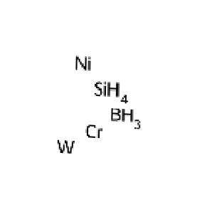 B.[Cr].[Ni].[SiH4].[W]